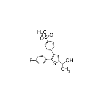 CC(O)c1cc(-c2ccc(S(C)(=O)=O)cc2)c(-c2ccc(F)cc2)s1